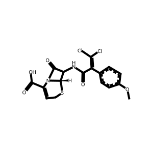 COc1ccc(C(C(=O)NC2C(=O)N3C(C(=O)O)=CCS[C@@H]23)=C(Cl)Cl)cc1